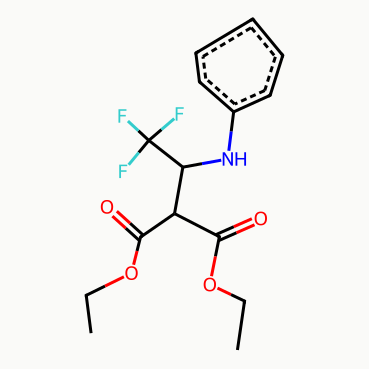 CCOC(=O)C(C(=O)OCC)C(Nc1ccccc1)C(F)(F)F